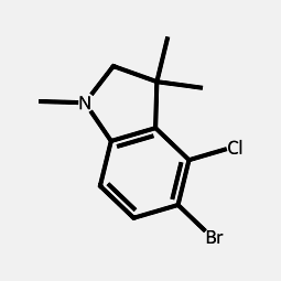 CN1CC(C)(C)c2c1ccc(Br)c2Cl